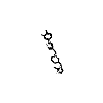 Cc1ccc(-n2cc(CN3CCCC(Cn4ccnc4C)C3)cn2)cc1C